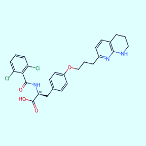 O=C(N[C@@H](Cc1ccc(OCCCc2ccc3c(n2)NCCC3)cc1)C(=O)O)c1c(Cl)cccc1Cl